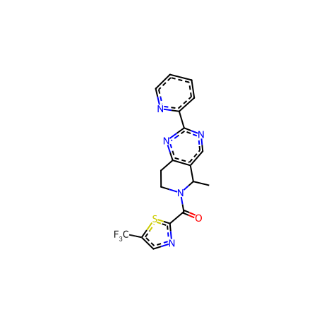 CC1c2cnc(-c3ccccn3)nc2CCN1C(=O)c1ncc(C(F)(F)F)s1